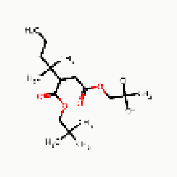 CCCC(C)(C)C(CC(=O)OCC(C)(C)C)C(=O)OCC(C)(C)C